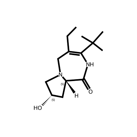 CCC1=C(C(C)(C)C)NC(=O)[C@@H]2C[C@H](O)CN2C1